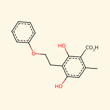 Cc1cc(O)c(CCOc2ccccc2)c(O)c1C(=O)O